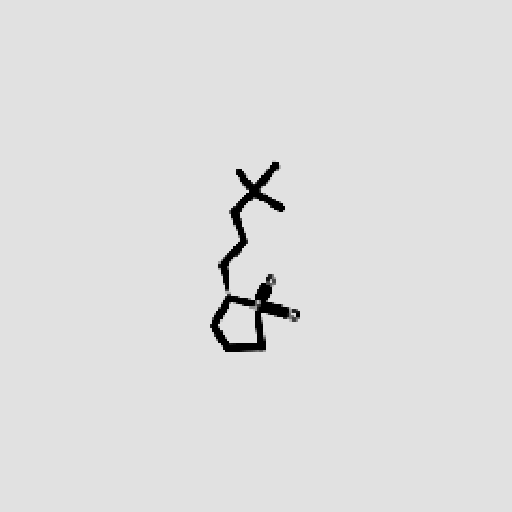 CC(C)(C)CCC[C@@H]1CCCS1(=O)=O